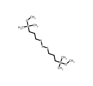 CO[Si](C)(C)CCCSSSCCC[Si](C)(C)OC